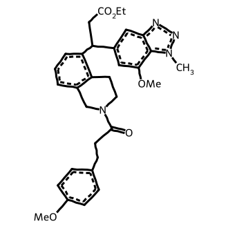 CCOC(=O)CC(c1cc(OC)c2c(c1)nnn2C)c1cccc2c1CCN(C(=O)CCc1ccc(OC)cc1)C2